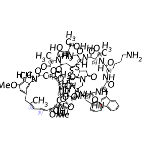 COc1cc2cc(c1C)N(C)C(=O)C[C@H](OC(=O)[C@H](C)N(C)C(=O)CCSC1CC(=O)N(CCN[C@H](Cc3ccccc3)C(=O)N[C@H]3CSSC[C@@H](C(=O)N[C@H](CO)[C@@H](C)O)NC(=O)[C@H]([C@@H](C)O)NC(=O)[C@H](CCCCN)NC(=O)[C@@H](Cc4c[nH]c5ccccc45)NC(=O)[C@H](Cc4ccccc4)NC3=O)C1=O)[C@]1(C)O[C@H]1[C@H](C)[C@@H]1C[C@@](O)(NC(=O)O1)[C@H](OC)/C=C/C=C(\C)C2